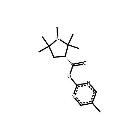 Cc1cnc(OC(=O)[C@@H]2CC(C)(C)N(C)C2(C)C)nc1